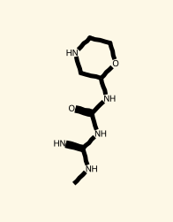 CNC(=N)NC(=O)NC1CNCCO1